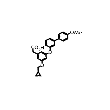 COc1ccc(-c2cccc(Oc3cc(CC(=O)O)cc(OCC4CC4)c3)c2)cc1